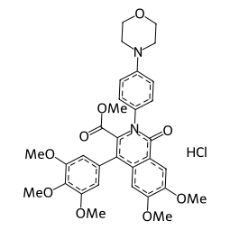 COC(=O)c1c(-c2cc(OC)c(OC)c(OC)c2)c2cc(OC)c(OC)cc2c(=O)n1-c1ccc(N2CCOCC2)cc1.Cl